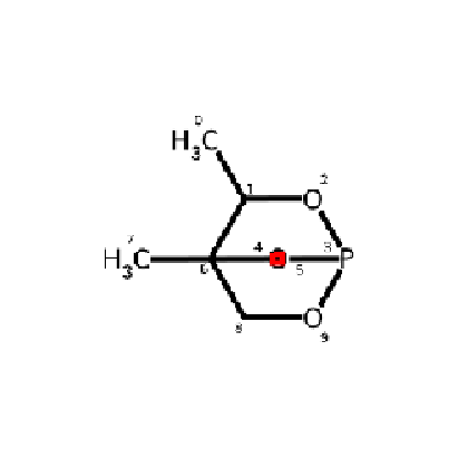 CC1OP2OCC1(C)CO2